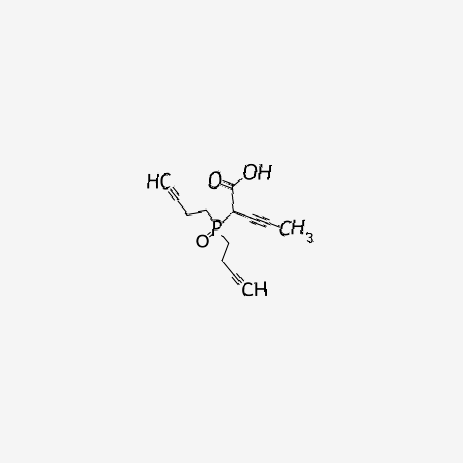 C#CCCP(=O)(CCC#C)C(C#CC)C(=O)O